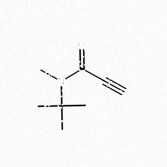 C#CC(=O)N(C)C(C)(C)C